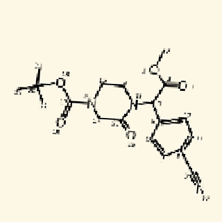 COC(=O)C(c1ccc(C#N)cc1)N1CCN(C(=O)OC(C)(C)C)CC1=O